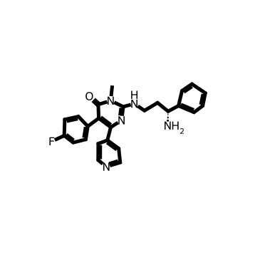 Cn1c(NCC[C@@H](N)c2ccccc2)nc(-c2ccncc2)c(-c2ccc(F)cc2)c1=O